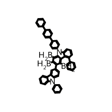 Bc1c(-c2ccc3c(c2)c2ccccc2n3-c2ccccc2)c(B)c2c3c(-c4ccccc4)cccc3n(-c3ccc(-c4ccc(-c5ccccc5)cc4)cc3)c2c1B